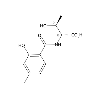 C[C@H](O)[C@@H](NC(=O)c1ccc(I)cc1O)C(=O)O